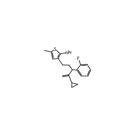 C=C(C1CC1)C(CCc1cc(C)sc1CCC)c1ccccc1F